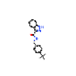 CC(C)(C)c1ccc(CNC(=O)c2n[nH]c3ccccc23)cc1